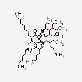 CCCCCCCC/C(C(=O)[O][SnH]([CH2]C(CC)CCCC)[CH2]C(CC)CCCC)=C(\CCCCCCCC)C(=O)[O][SnH]([CH2]C(CC)CCCC)[CH2]C(CC)CCCC